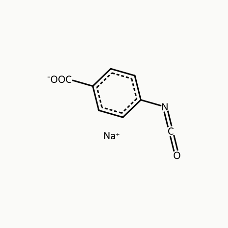 O=C=Nc1ccc(C(=O)[O-])cc1.[Na+]